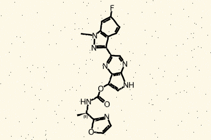 C[C@@H](NC(=O)Oc1c[nH]c2ncc(-c3nn(C)c4cc(F)ccc34)nc12)c1ncco1